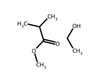 CCO.COC(=O)C(C)C